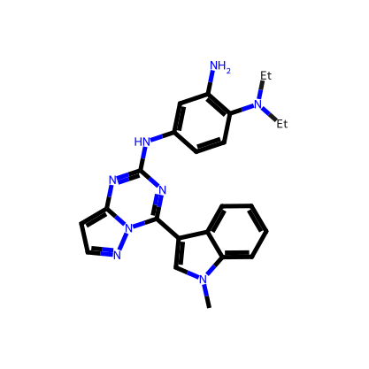 CCN(CC)c1ccc(Nc2nc(-c3cn(C)c4ccccc34)n3nccc3n2)cc1N